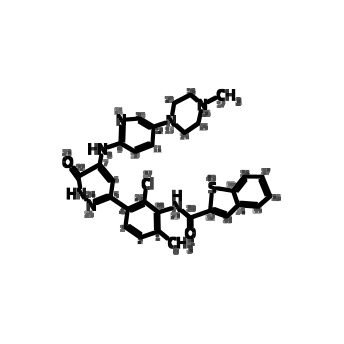 Cc1ccc(-c2cc(Nc3ccc(N4CCN(C)CC4)cn3)c(=O)[nH]n2)c(Cl)c1NC(=O)c1cc2ccccc2s1